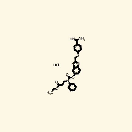 CCOC(=O)CCN(C(=O)Oc1ccc2sc(CSc3ccc(C(=N)N)cc3)nc2c1)c1ccccc1.Cl